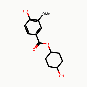 COc1cc(C(=O)OC2CCC(O)CC2)ccc1O